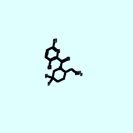 NCC1CCC(F)(F)CN1C(=O)c1nc(Cl)ccc1Cl